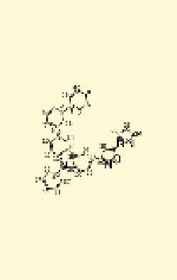 c1ccc(-c2cccc(-c3ccc4c(c3)c3cc(-c5cc(-n6cccn6)on5)ccc3n4-c3ccccc3)c2)cc1